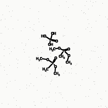 COP(C)(=O)OC.COP(C)(=O)OC.O=P(O)(O)O